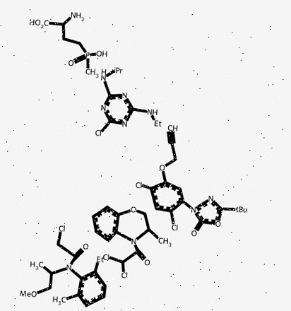 C#CCOc1cc(-n2nc(C(C)(C)C)oc2=O)c(Cl)cc1Cl.CC1COc2ccccc2N1C(=O)C(Cl)Cl.CCNc1nc(Cl)nc(NC(C)C)n1.CCc1cccc(C)c1N(C(=O)CCl)C(C)COC.CP(=O)(O)CCC(N)C(=O)O